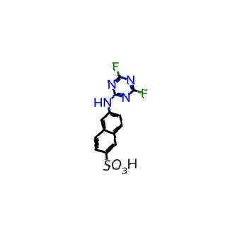 O=S(=O)(O)c1ccc2cc(Nc3nc(F)nc(F)n3)ccc2c1